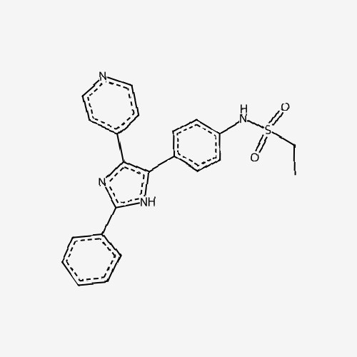 CCS(=O)(=O)Nc1ccc(-c2[nH]c(-c3ccccc3)nc2-c2ccncc2)cc1